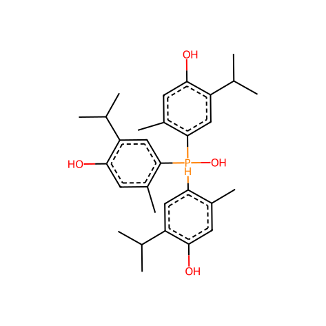 Cc1cc(O)c(C(C)C)cc1[PH](O)(c1cc(C(C)C)c(O)cc1C)c1cc(C(C)C)c(O)cc1C